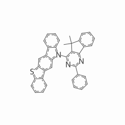 CC1(C)c2ccccc2-c2nc(-c3ccccc3)nc(-n3c4ccccc4c4cc5sc6ccccc6c5cc43)c21